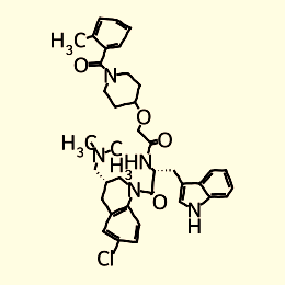 Cc1ccccc1C(=O)N1CCC(OCC(=O)N[C@H](Cc2c[nH]c3ccccc23)C(=O)N2C[C@@H](CN(C)C)Cc3cc(Cl)ccc32)CC1